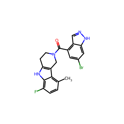 Cc1ccc(F)c2[nH]c3c(c12)CN(C(=O)c1cc(Br)cc2[nH]ncc12)CC3